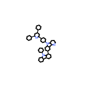 c1ccc(-c2cc(-c3ccccc3)nc(-c3ccc(-n4c5ccc(-c6cccc7c8ccccc8n(-c8ccccc8)c67)cc5c5ncccc54)cc3)c2)cc1